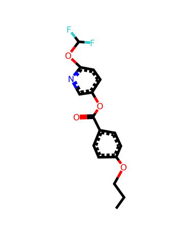 CCCOc1ccc(C(=O)Oc2ccc(OC(F)F)nc2)cc1